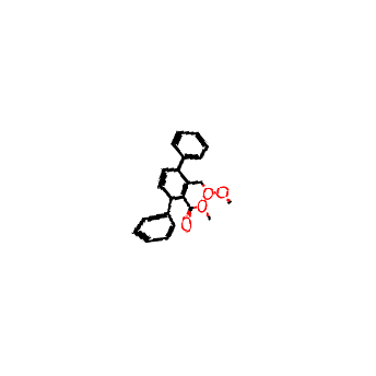 COOCC1=C(C(=O)OC)C(c2ccccc2)C=CC1c1ccccc1